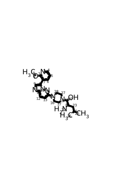 COc1ncccc1-c1cnc2ccc(N3CCN(C(O)[C@@H](N)CC(C)C)CC3)nn12